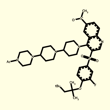 CC(=O)N1CCN(C2CCN(C3CCN(c4c(S(=O)(=O)c5ccc(OC(C)(C)CC(C)(C)C)c(F)c5)cnc5ccc([S+](C)[O-])cc45)CC3)CC2)CC1